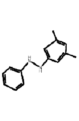 Cc1cc(C)cc(NNc2ccccc2)c1